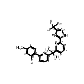 Cc1ccc(-c2cccc(C(C)(C)c3cccc(-c4nc(C(F)(F)F)n[nH]4)n3)n2)c(F)c1